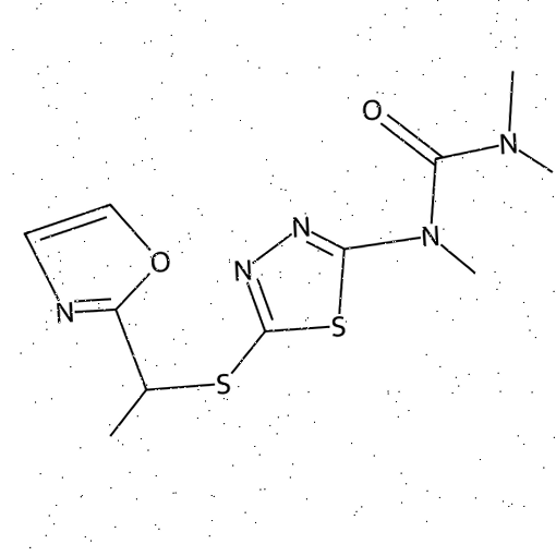 CC(Sc1nnc(N(C)C(=O)N(C)C)s1)c1ncco1